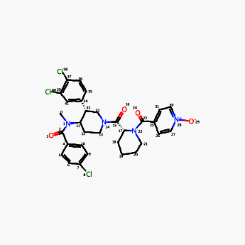 CN(C(=O)c1ccc(Cl)cc1)[C@@H]1CCN(C(=O)[C@H]2CCCCN2C(=O)c2cc[n+]([O-])cc2)C[C@H]1c1ccc(Cl)c(Cl)c1